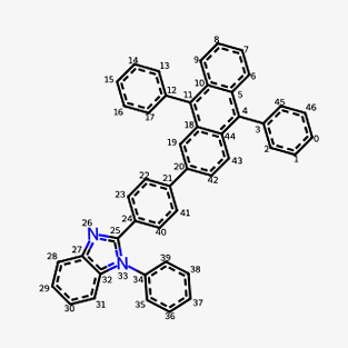 c1ccc(-c2c3ccccc3c(-c3ccccc3)c3cc(-c4ccc(-c5nc6ccccc6n5-c5ccccc5)cc4)ccc23)cc1